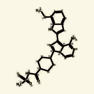 COc1cccc2cc(-c3nc(C4CCC(C(=O)NS(C)(=O)=O)CC4)n4ccnc(N)c34)[nH]c12